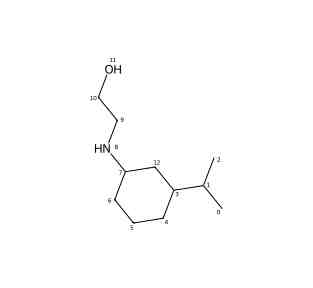 CC(C)C1CCCC(NCCO)C1